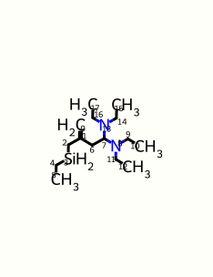 C=C(C[SiH2]CC)CC(N(CC)CC)N(CC)CC